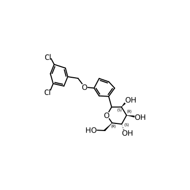 OC[C@H]1OC(c2cccc(OCc3cc(Cl)cc(Cl)c3)c2)[C@@H](O)[C@@H](O)[C@@H]1O